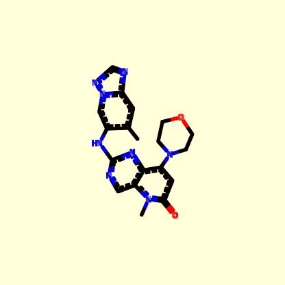 Cc1cc2ncnn2cc1Nc1ncc2c(n1)c(N1CCOCC1)cc(=O)n2C